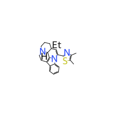 CC[C@@]12C=C(c3nc(C)c(C)s3)n3c4c(c5ccccc53)CCN(CCC1)[C@H]42